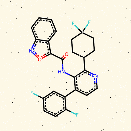 O=C(Nc1c(-c2cc(F)ccc2F)ccnc1C1CCC(F)(F)CC1)c1onc2ccccc12